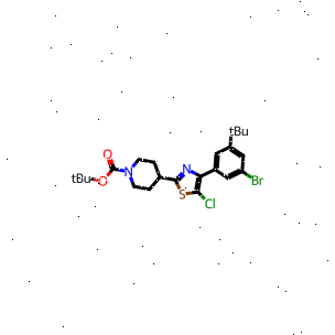 CC(C)(C)OC(=O)N1CCC(c2nc(-c3cc(Br)cc(C(C)(C)C)c3)c(Cl)s2)CC1